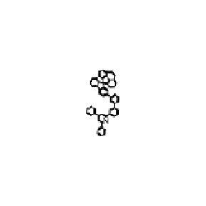 c1ccc(-c2cc(-c3ccccc3)nc(-c3cccc(-c4cccc(-c5ccc6c(c5)C5(c7ccccc7-6)c6cccc7ccc8cccc5c8c67)c4)c3)c2)cc1